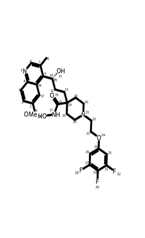 COc1ccc2ncc(C)c([C@H](O)CCC3(C(=O)NO)CCN(CCOc4cc(F)c(F)c(F)c4)CC3)c2c1